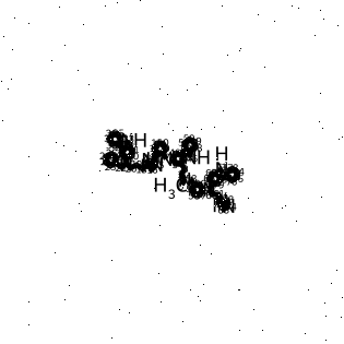 CN(CCc1cc(Nc2ccccc2-c2ncn(CCCN(Cc3ccccc3)c3ccc4[nH]c5ccccc5c4c3)n2)cc2c1[nH]c1ccccc12)Cc1cccc(N(CCn2cncn2)c2ccc3[nH]c4ccccc4c3c2)c1